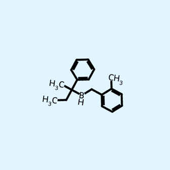 CCC(C)(BCc1ccccc1C)c1ccccc1